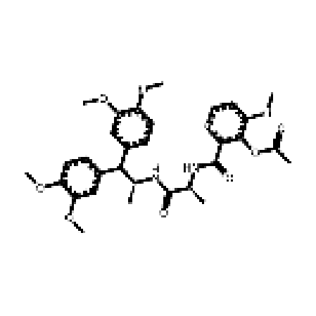 COc1ccc(C(c2ccc(OC)c(OC)c2)[C@H](C)NC(=O)[C@H](C)NC(=O)c2nccc(OC)c2OC(C)=O)cc1OC